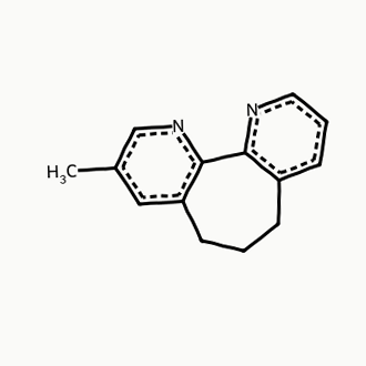 Cc1cnc2c(c1)CCCc1cccnc1-2